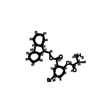 C[C@H](N)C(=O)Oc1ccc(Br)cc1C(=O)OCC1c2ccccc2-c2ccccc21